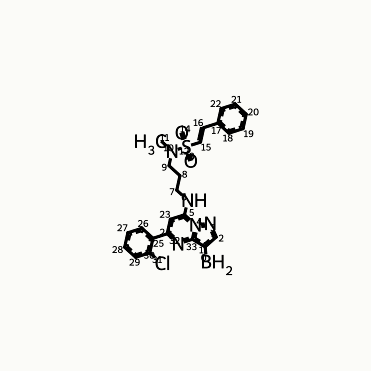 Bc1cnn2c(NCCCN(C)S(=O)(=O)/C=C/c3ccccc3)cc(-c3ccccc3Cl)nc12